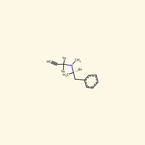 [2H]C([2H])(C#C)N(C)[C@]([2H])(C)Cc1ccccc1